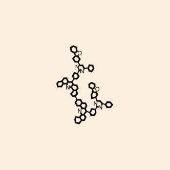 c1ccc(-c2cc(-c3ccc4c(c3)oc3ccccc34)nc(-c3ccc(-c4c5ccc6ccccc6c5nc5c4ccc4cc(-c6ccc7c(ccc8c(-c9cccc(-c%10nc(-c%11ccccc%11)cc(-c%11ccc%12c(c%11)oc%11ccccc%11%12)n%10)c9)c9ccc%10ccccc%10c9nc87)c6)ccc45)cc3)n2)cc1